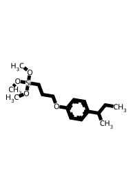 CCC(C)c1ccc(OCCC[Si](OC)(OC)OC)cc1